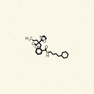 CCCC(Cc1ccccc1C(=O)NCCCCC1CCCCC1)(C(=O)O)c1ncco1